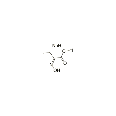 CCC(=NO)C(=O)OCl.[NaH]